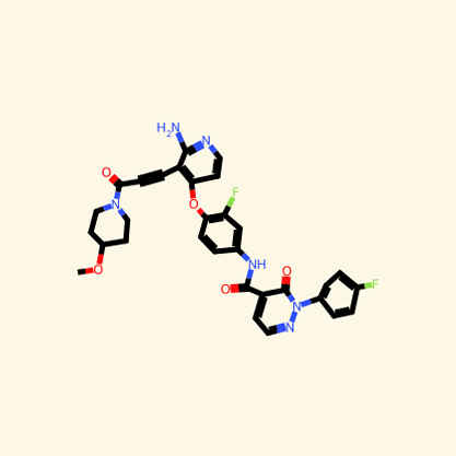 COC1CCN(C(=O)C#Cc2c(Oc3ccc(NC(=O)c4ccnn(-c5ccc(F)cc5)c4=O)cc3F)ccnc2N)CC1